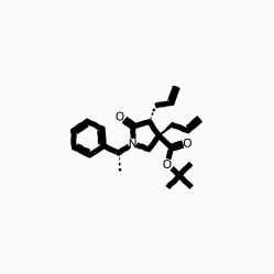 C=CC[C@H]1C(=O)N([C@H](C)c2ccccc2)C[C@@]1(CC=C)C(=O)OC(C)(C)C